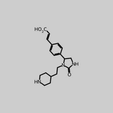 O=C(O)C=Cc1ccc(C2CNC(=O)N2CCC2CCNCC2)cc1